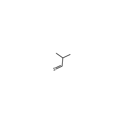 CC(C)C=S